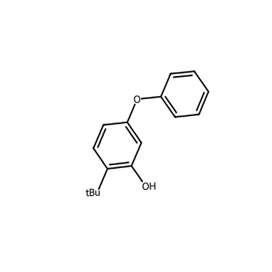 CC(C)(C)c1ccc(Oc2ccccc2)cc1O